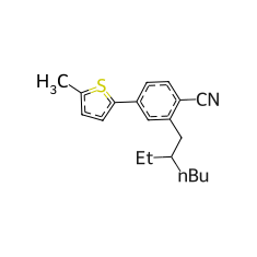 CCCCC(CC)Cc1cc(-c2ccc(C)s2)ccc1C#N